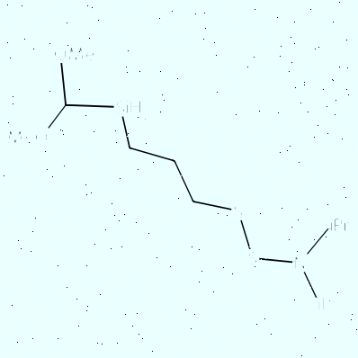 COC(OC)[SiH2]CCCSSN(C(C)C)C(C)C